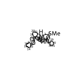 CSCC[C@H](NC(=O)C1(NC(=O)Oc2ccccc2)CCCCC1)C(=O)C(=O)NC1CCCC1